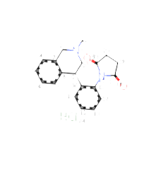 CN1Cc2ccccc2[C@H](c2ccccc2N2C(=O)CCC2=O)C1.Cl